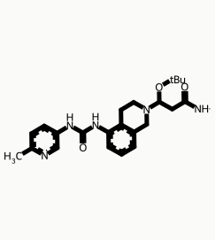 Cc1ccc(NC(=O)Nc2cccc3c2CCN(C(CC([NH])=O)OC(C)(C)C)C3)cn1